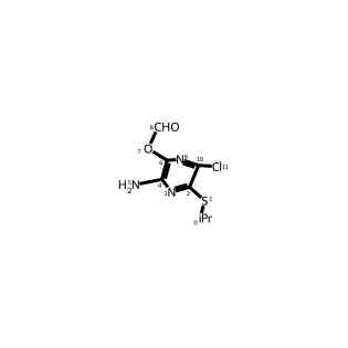 CC(C)Sc1nc(N)c(OC=O)nc1Cl